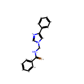 S=C(NCn1cnc(-c2ccccc2)c1)c1ccccc1